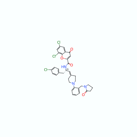 O=C(N[C@H](C=C1CCN(c2ccccc2CN2CCCC2=O)CC1)Cc1ccc(Cl)cc1)c1cc(=O)c2cc(Cl)cc(Cl)c2o1